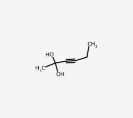 CCC#CC(C)(O)O